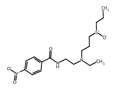 CCC[S+]([O-])CCCN(CC)CCNC(=O)c1ccc([N+](=O)[O-])cc1